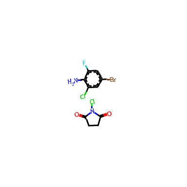 Nc1c(F)cc(Br)cc1Cl.O=C1CCC(=O)N1Cl